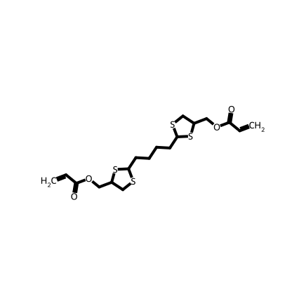 C=CC(=O)OCC1CSC(CCCCC2SCC(COC(=O)C=C)S2)S1